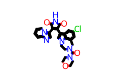 O=C1NC(=O)C(c2cnc3ccccn23)=C1c1cn2c3c(cc(Cl)cc13)CN(C(=O)N1CCOCC1)CC2